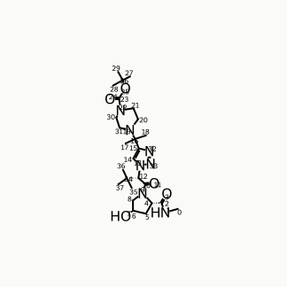 CNC(=O)[C@@H]1C[C@@H](O)CN1C(=O)[C@@H](n1cc(C(C)(C)N2CCN(C(=O)OC(C)(C)C)CC2)nn1)C(C)(C)C